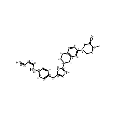 CN1CCN(c2ccc3c(c2)CN(c2ncc(Cc4ccc(N/C=C\C=N)cc4)s2)CC3)CC1=O